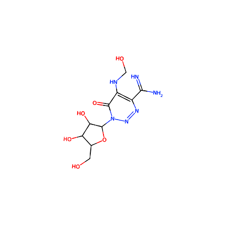 N=C(N)c1nnn(C2OC(CO)C(O)C2O)c(=O)c1NCO